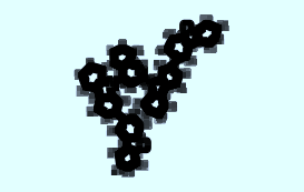 c1ccc2c(-n3c4ccccc4c4ccc(-c5ccc6oc7ccccc7c6c5)cc43)cc(-n3c4ccccc4c4ccc(-c5ccc6oc7ccccc7c6c5)cc43)nc2c1